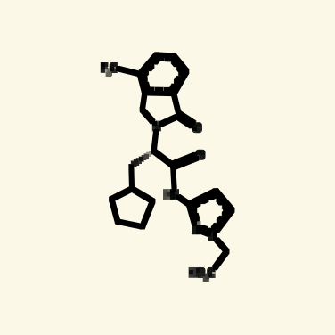 O=C(O)Cn1ccc(NC(=O)[C@H](CC2CCCC2)N2Cc3c(cccc3C(F)(F)F)C2=O)n1